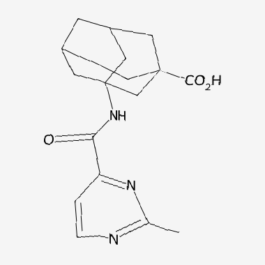 Cc1nccc(C(=O)NC23CC4CC(C2)CC(C(=O)O)(C4)C3)n1